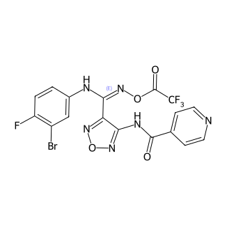 O=C(Nc1nonc1/C(=N\OC(=O)C(F)(F)F)Nc1ccc(F)c(Br)c1)c1ccncc1